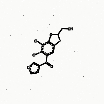 O=C(c1ccoc1)c1cc2c(c(Cl)c1Cl)OC(CO)C2